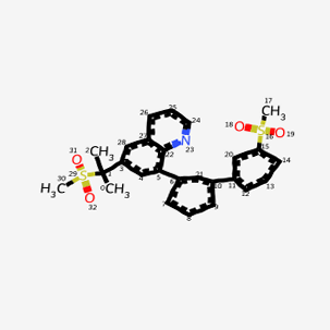 CC(C)(c1cc(-c2cccc(-c3cccc(S(C)(=O)=O)c3)c2)c2ncccc2c1)S(C)(=O)=O